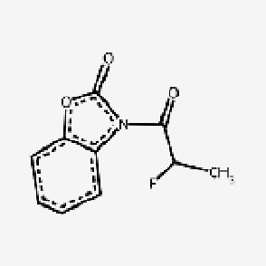 CC(F)C(=O)n1c(=O)oc2ccccc21